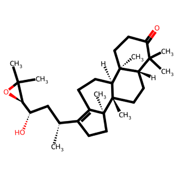 C[C@H](C[C@H](O)[C@H]1OC1(C)C)C1=C2CC[C@H]3[C@@]4(C)CCC(=O)C(C)(C)[C@@H]4CC[C@]3(C)[C@@]2(C)CC1